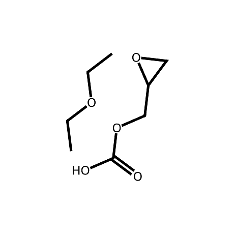 CCOCC.O=C(O)OCC1CO1